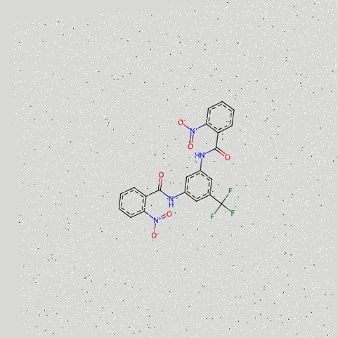 O=C(Nc1cc(NC(=O)c2ccccc2[N+](=O)[O-])cc(C(F)(F)F)c1)c1ccccc1[N+](=O)[O-]